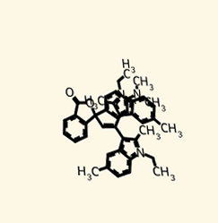 CCn1c(C)c(C(=CC2(c3ccc(N(C)C)cc3)OC(=O)c3ccccc32)c2c(C)n(CC)c3ccc(C)cc23)c2cc(C)ccc21